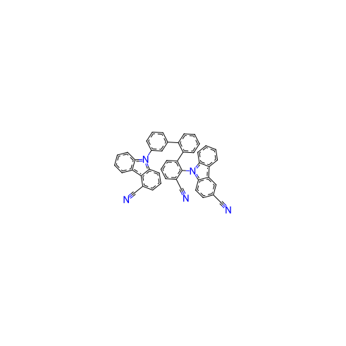 N#Cc1ccc2c(c1)c1ccccc1n2-c1c(C#N)cccc1-c1ccccc1-c1cccc(-n2c3ccccc3c3c(C#N)cccc32)c1